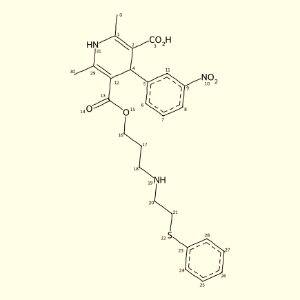 CC1=C(C(=O)O)C(c2cccc([N+](=O)[O-])c2)C(C(=O)OCCCNCCSc2ccccc2)=C(C)N1